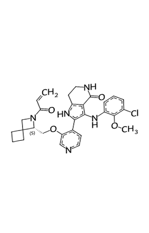 C=CC(=O)N1CC2(CCC2)[C@H]1COc1cnccc1-c1[nH]c2c(c1Nc1cccc(Cl)c1OC)C(=O)NCC2